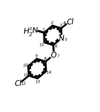 Nc1cc(Cl)nc(Oc2ccc(Cl)cc2)c1